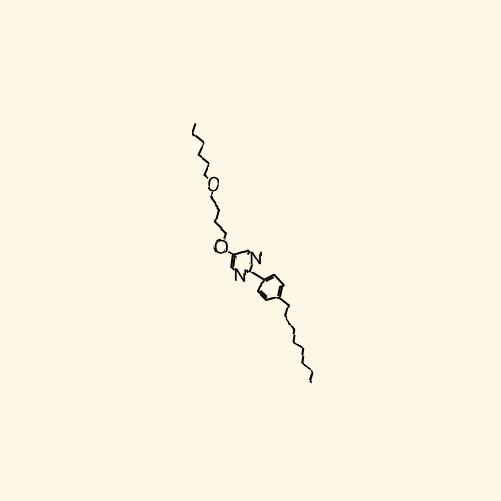 CCCCCCCCc1ccc(-c2ncc(OCCCCOCCCCCC)cn2)cc1